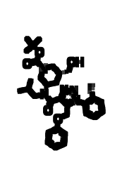 CC(C)CN(C(=O)c1nnn(-c2ccccc2F)c1COc1ccccc1)[C@H]1C[C@@H](CO)CN(C(=O)OC(C)(C)C)C1